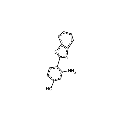 Nc1cc(O)ccc1-c1nc2ccccc2s1